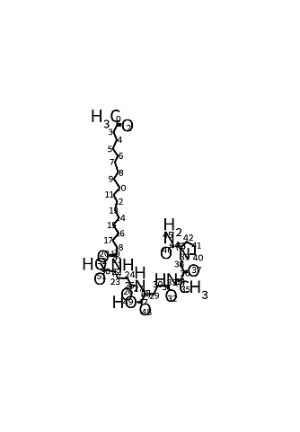 CC(=O)CCCCCCCCCCCCCCCCC(=O)N[C@@H](CCC(=O)N[C@@H](CCC(=O)N[C@@H](C)C(=O)CN1CCC[C@H]1C(N)=O)C(=O)O)C(=O)O